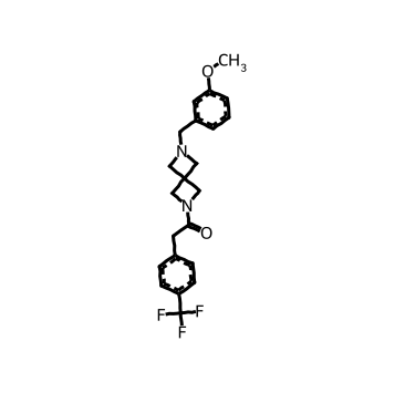 COc1cccc(CN2CC3(C2)CN(C(=O)Cc2ccc(C(F)(F)F)cc2)C3)c1